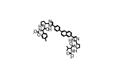 COC(=O)NC(C(=O)N1CCCC1c1ncc(-c2ccc(-c3ccc4cc(-c5cnc(C6CCCN6C(=O)C(NC(=O)OC)C(C)C)[nH]5)ccc4c3)cc2)[nH]1)c1ccc(C)cc1